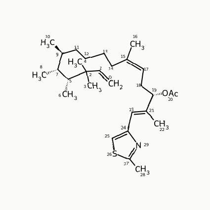 C=CC(C)(C)[C@H](C)[C@H](C)[C@@H](C)CCCC/C(C)=C\C[C@H](OC(C)=O)/C(C)=C/c1csc(C)n1